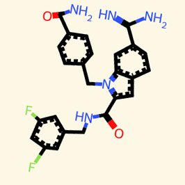 N=C(N)c1ccc2cc(C(=O)NCc3cc(F)cc(F)c3)n(Cc3ccc(C(N)=O)cc3)c2c1